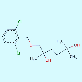 CC(C)(O)CCC(C)(O)COCc1c(Cl)cccc1Cl